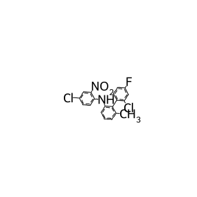 Cc1cccc(Nc2ccc(Cl)cc2[N+](=O)[O-])c1-c1ccc(F)cc1Cl